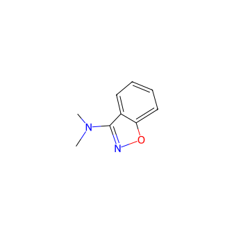 CN(C)c1noc2ccccc12